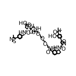 Cc1ncsc1-c1ccc(CNC(=O)[C@@H]2C[C@@H](O)CN2C(=O)C(NC(=O)COCCOCCOCCNC(=O)c2ccc3c(c2)[C@H](NC(=O)c2cc(-c4ccc(C(=O)N(C)C)c(O)c4)on2)CC3)C(C)(C)C)cc1